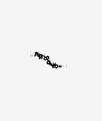 COc1cc(OC2CCc3c(-c4cccc(NC(=O)c5nc6c(n5C)CCN(CCO)C6)c4Cl)cccc32)c(Cl)c(F)c1CN1CCCC1CO